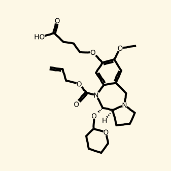 C=CCOC(=O)N1c2cc(OCCCC(=O)O)c(OC)cc2CN2CCC[C@H]2[C@@H]1OC1CCCCO1